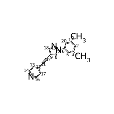 Cc1cc(C)cc(-n2cc(C#Cc3ccncc3)cn2)c1